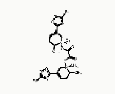 CCc1noc(C2=CCC(C)[N+](C)(OC(=O)C(=O)O[N+]3(C)CC(c4nc(CC)no4)=CCC3C)C2)n1